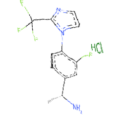 C[C@@H](N)c1ccc(-n2ccnc2C(F)(F)F)c(F)c1.Cl